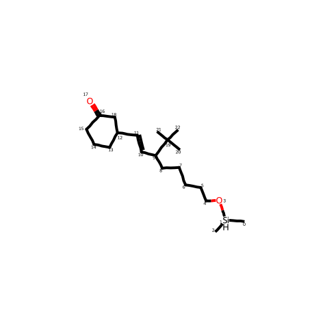 C[SiH](C)OCCCCCC(C=CC1CCCC(=O)C1)C(C)(C)C